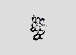 Cc1cccc2c1COC(=O)N2c1ccc(Cn2cnn(C/C(=C/F)CN)c2=O)s1